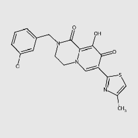 Cc1csc(-c2cn3c(c(O)c2=O)C(=O)N(Cc2cccc(Cl)c2)CC3)n1